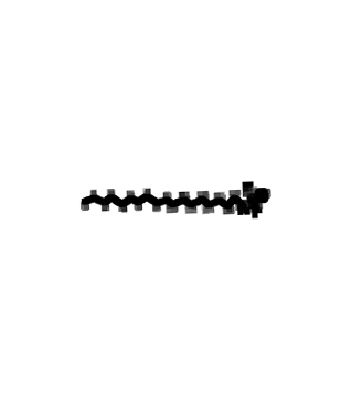 CCCCCCCCCCCCCCCCCCN=S(=O)(F)F